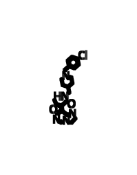 Cc1oc2c(c1C(=O)NCC1CCN(Cc3ccc(Cl)cc3)CC1)C1=NCCN1C=N2